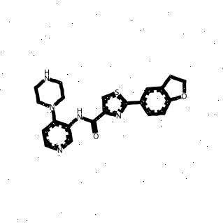 O=C(Nc1cnccc1N1CCNCC1)c1csc(-c2ccc3c(c2)CCO3)n1